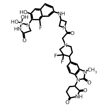 Cn1c(=O)n(C2CCC(=O)NC2=O)c2ccc(C3CCN(CC(=O)N4CC(Nc5ccc6cc(O)c(N7CC(=O)NS7(O)O)c(F)c6c5)C4)CC3(F)F)cc21